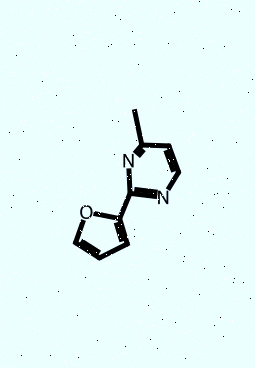 Cc1ccnc(-c2ccco2)n1